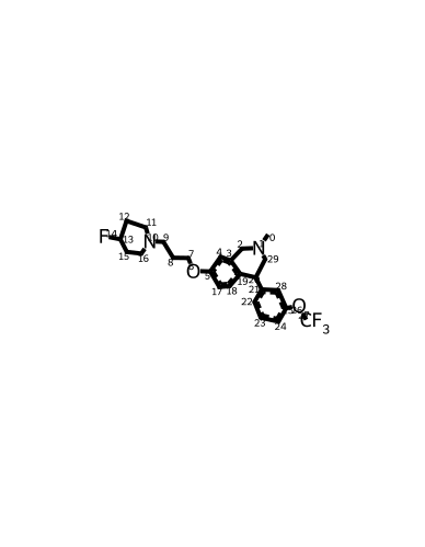 CN1Cc2cc(OCCCN3CCC(F)CC3)ccc2C(c2cccc(OC(F)(F)F)c2)C1